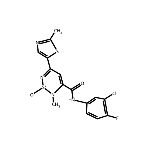 Cc1ncc(C2=N[S+]([O-])N(C)C(C(=O)Nc3ccc(F)c(Cl)c3)=C2)s1